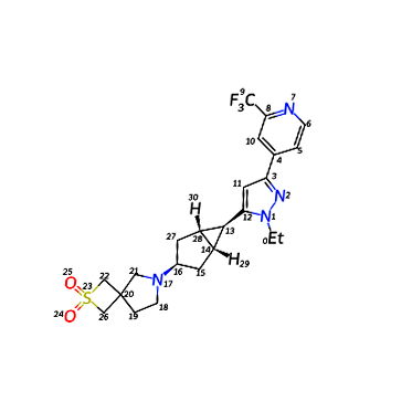 CCn1nc(-c2ccnc(C(F)(F)F)c2)cc1[C@H]1[C@@H]2C[C@@H](N3CCC4(C3)CS(=O)(=O)C4)C[C@@H]21